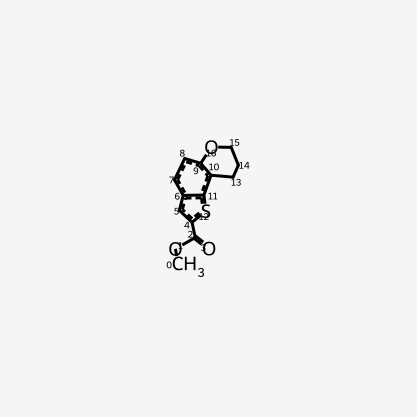 COC(=O)c1cc2ccc3c(c2s1)CCCO3